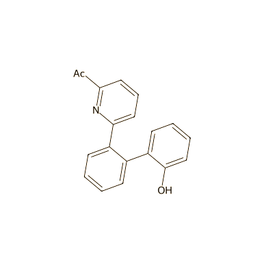 CC(=O)c1cccc(-c2ccccc2-c2ccccc2O)n1